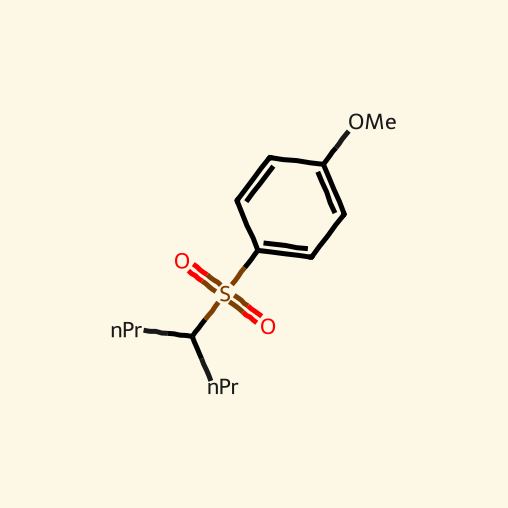 CCCC(CCC)S(=O)(=O)c1ccc(OC)cc1